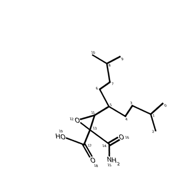 CC(C)CCC(CCC(C)C)C1OC1(C(N)=O)C(=O)O